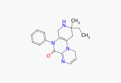 CCC1(C)CC2=C(CN1)N(c1ccccc1)C(=O)C1=NC=CCN12